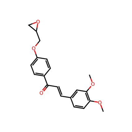 COc1ccc(C=CC(=O)c2ccc(OCC3CO3)cc2)cc1OC